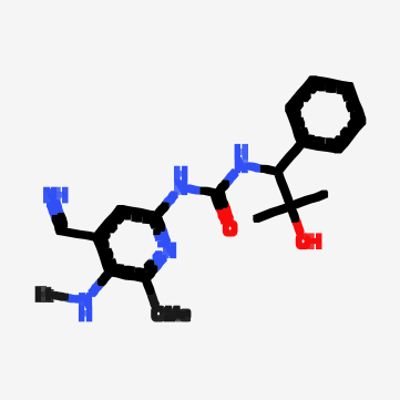 CCNc1c(C=N)cc(NC(=O)NC(c2ccccc2)C(C)(C)O)nc1OC